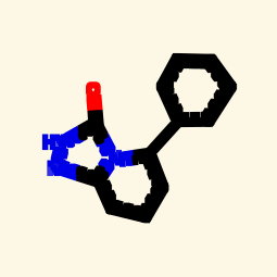 O=c1[nH]nc2cccc(-c3ccccc3)n12